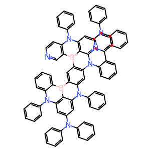 c1ccc(N(c2ccccc2)c2cc3c4c(c2)N(c2ccccc2)c2cc5c(cc2B4c2ccccc2N3c2ccccc2)B2c3cnccc3N(c3ccccc3)c3cc(N(c4ccccc4)c4ccccc4)nc(c32)N5c2ccccc2-c2ccccn2)cc1